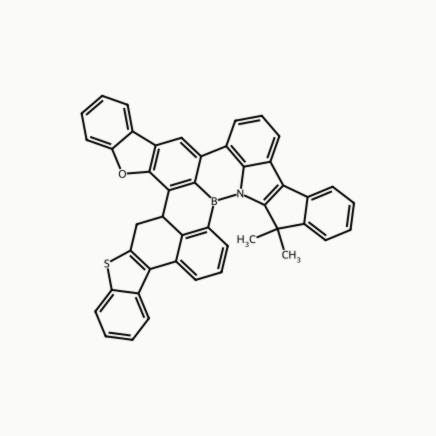 CC1(C)c2ccccc2-c2c1n1c3c(cccc23)-c2cc3c(oc4ccccc43)c3c2B1c1cccc2c1C3Cc1sc3ccccc3c1-2